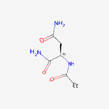 CCC(=O)N[C@H](CC(N)=O)C(N)=O